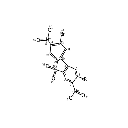 O=[N+]([O-])c1cc2c(cc1Br)-c1cc(Br)c([N+](=O)[O-])cc1S2(=O)=O